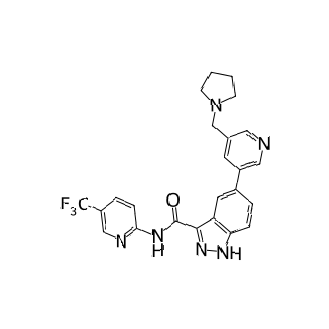 O=C(Nc1ccc(C(F)(F)F)cn1)c1n[nH]c2ccc(-c3cncc(CN4CCCC4)c3)cc12